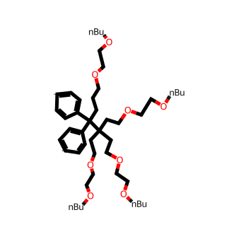 CCCCOCCOCCCC(c1cc[c]cc1)(c1cc[c]cc1)C(CCOCCOCCCC)(CCOCCOCCCC)CCOCCOCCCC